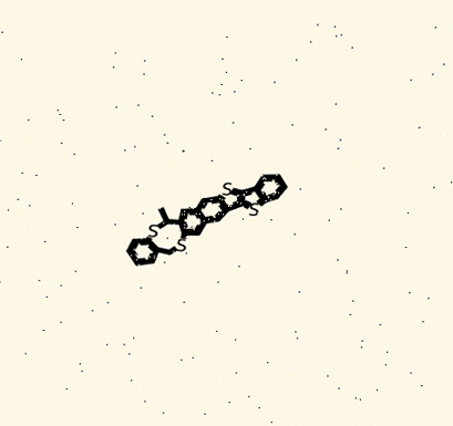 CC1Sc2ccccc2CSc2cc3cc4c(cc3cc21)sc1c2ccccc2sc41